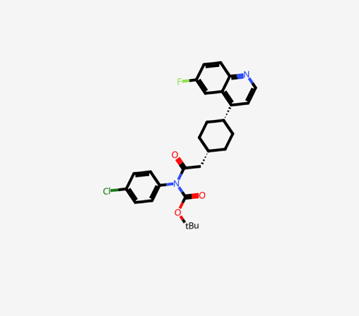 CC(C)(C)OC(=O)N(C(=O)C[C@H]1CC[C@@H](c2ccnc3ccc(F)cc32)CC1)c1ccc(Cl)cc1